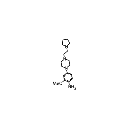 COc1cc(N2CCN(CCN3CCCC3)CC2)ccc1N